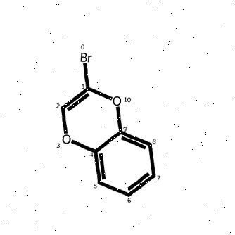 BrC1=COc2ccccc2O1